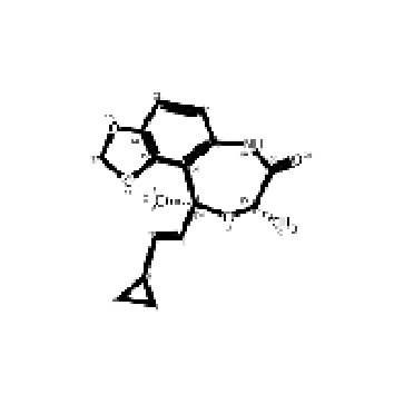 C[C@@H]1O[C@](C=CC2CC2)(C(F)(F)F)c2c(ccc3c2OCO3)NC1=O